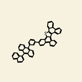 c1cc(-c2ccc3c4ccccc4c4c(sc5c6ccccc6c6ccccc6c54)c3c2)cc(-c2c3ccccc3c(-c3cccc4ccccc34)c3ccccc23)c1